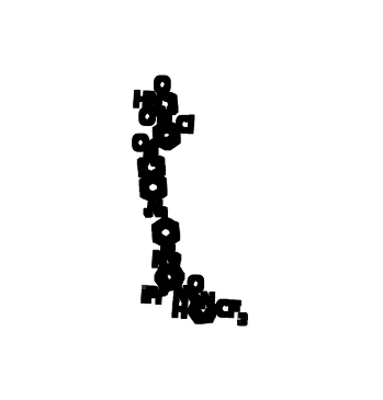 CC(C)c1cc2nn([C@H]3CC[C@H](CN(C)C4CCC5(CC4)CCN(C(=O)c4ccc(Cl)c(N6CCC(=O)NC6=O)c4)CC5)CC3)cc2cc1NC(=O)c1cccc(C(F)(F)F)n1